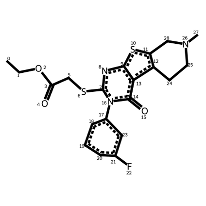 CCOC(=O)CSc1nc2sc3c(c2c(=O)n1-c1cccc(F)c1)CCN(C)C3